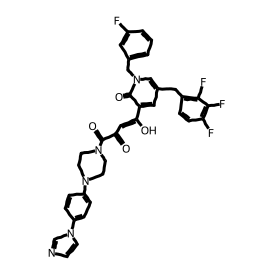 O=C(C=C(O)c1cc(Cc2ccc(F)c(F)c2F)cn(Cc2cccc(F)c2)c1=O)C(=O)N1CCN(c2ccc(-n3ccnc3)cc2)CC1